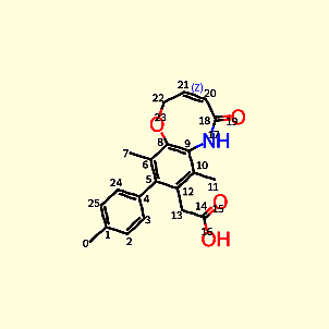 Cc1ccc(-c2c(C)c3c(c(C)c2CC(=O)O)NC(=O)/C=C\CO3)cc1